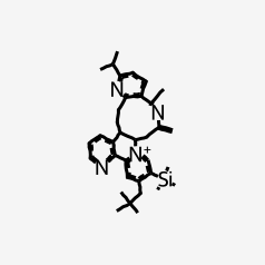 C=C1CC2C(CCc3nc(C(C)C)ccc3/C(C)=N\1)c1cccnc1-c1cc(CC(C)(C)C)c([Si](C)(C)C)c[n+]12